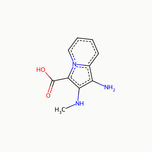 CNc1c(N)c2ccccn2c1C(=O)O